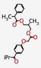 CC(COC(=O)COc1ccc(C(=O)C(C)C)cc1)COC(=O)C(C)c1ccccc1